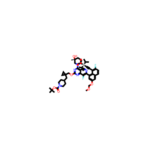 COCOc1cc(-c2ncc3c(N4CCC[C@@](C)(O)C4)nc(OCC4(CC5CCN(C(=O)OC(C)(C)C)CC5)CC4)nc3c2F)c2c(C#C[Si](C(C)C)(C(C)C)C(C)C)c(F)ccc2c1